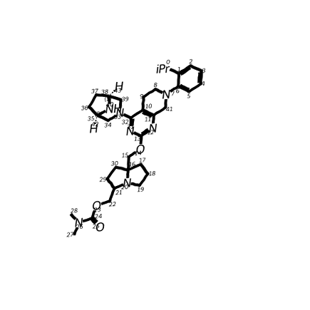 CC(C)c1ccccc1N1CCc2c(nc(OCC34CCCN3C(COC(=O)N(C)C)CC4)nc2N2C[C@H]3CC[C@@H](C2)N3)C1